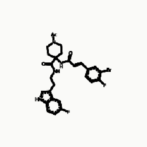 CC(=O)N1CCC(NC(=O)C=Cc2ccc(F)c(Br)c2)(C(=O)NCCc2c[nH]c3ccc(F)cc23)CC1